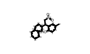 Cc1ccc(O)c(C(C[N+](=O)[O-])c2ccc3ccccc3c2)c1